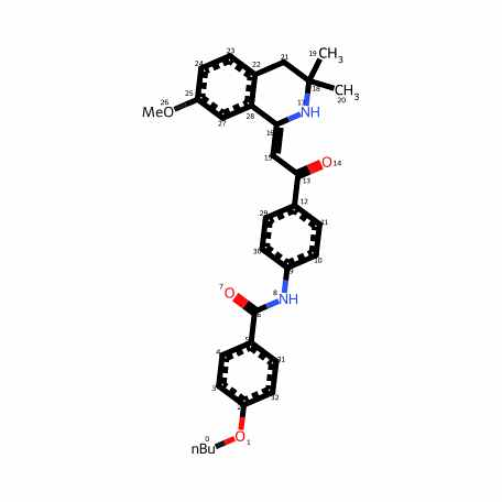 CCCCOc1ccc(C(=O)Nc2ccc(C(=O)C=C3NC(C)(C)Cc4ccc(OC)cc43)cc2)cc1